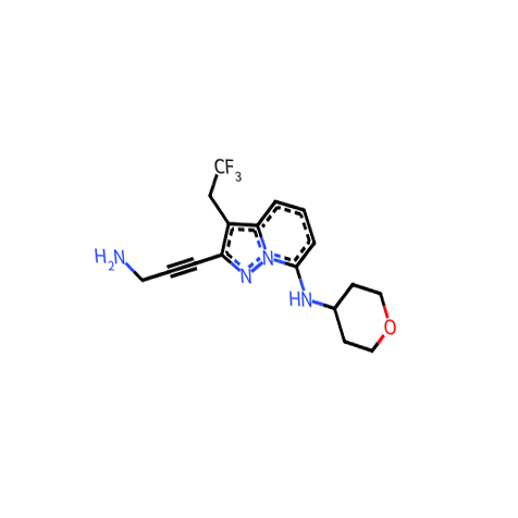 NCC#Cc1nn2c(NC3CCOCC3)cccc2c1CC(F)(F)F